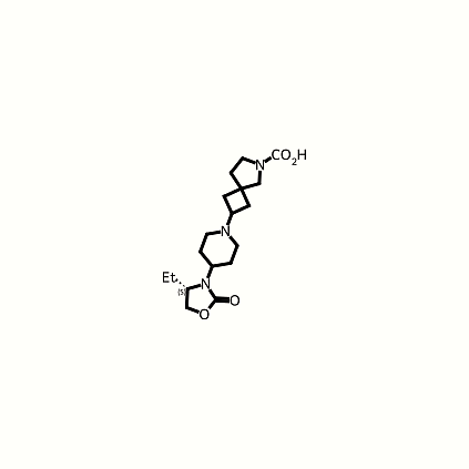 CC[C@H]1COC(=O)N1C1CCN(C2CC3(CCN(C(=O)O)C3)C2)CC1